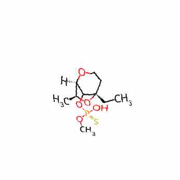 CC[C@]12CCO[C@@H](C1OP(O)(=S)OC)[C@H](C)O2